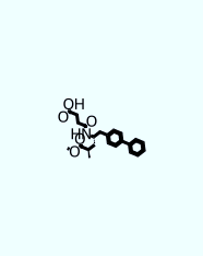 COC(=O)[C@H](C)C[C@@H](Cc1ccc(-c2ccccc2)cc1)NC(=O)CCC(=O)O